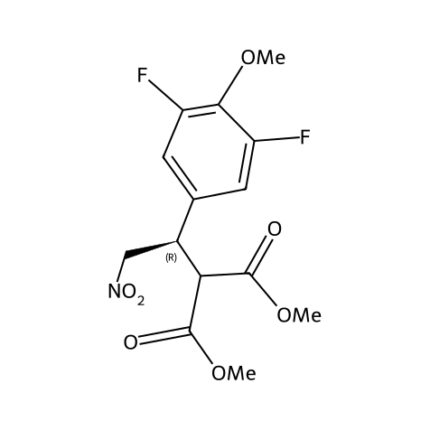 COC(=O)C(C(=O)OC)[C@@H](C[N+](=O)[O-])c1cc(F)c(OC)c(F)c1